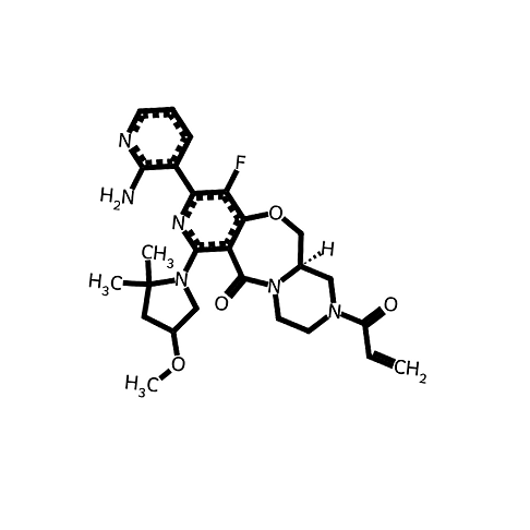 C=CC(=O)N1CCN2C(=O)c3c(N4CC(OC)CC4(C)C)nc(-c4cccnc4N)c(F)c3OC[C@H]2C1